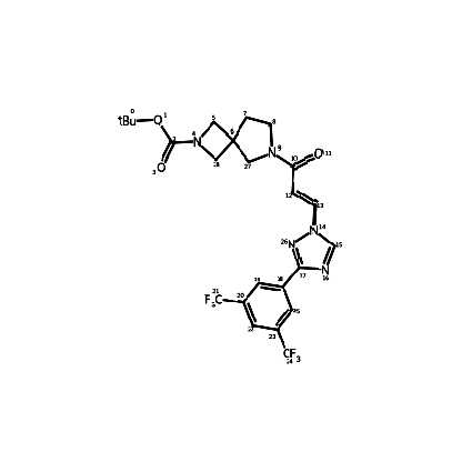 CC(C)(C)OC(=O)N1CC2(CCN(C(=O)/C=C/n3cnc(-c4cc(C(F)(F)F)cc(C(F)(F)F)c4)n3)C2)C1